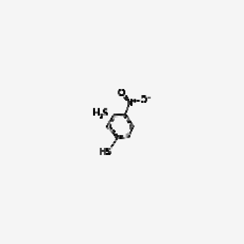 O=[N+]([O-])c1ccc(S)cc1.S